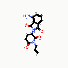 C=CCN1C(=O)CCC(N2C(=O)c3cccc(N)c3C2=O)C1=O